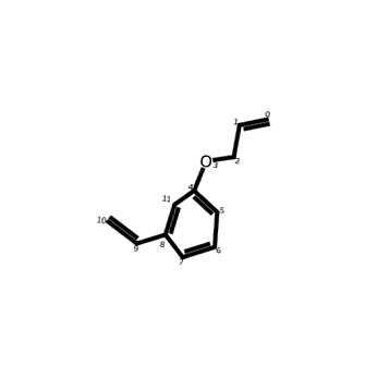 C=CCOc1cccc(C=C)c1